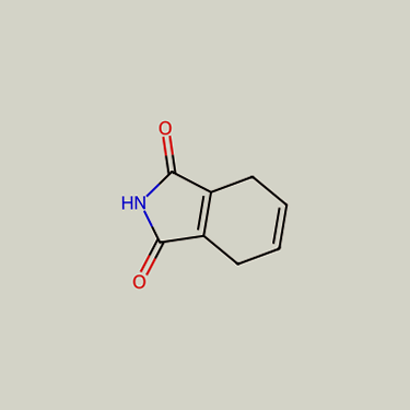 O=C1NC(=O)C2=C1CC=CC2